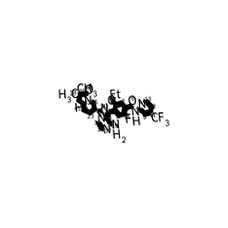 CCOc1cc(C(=O)Nc2cc(C(F)(F)F)ccn2)c(F)cc1-c1nc([C@@H]2CC[C@H]3CC(C)(C)C(=O)N3C2)n2ccnc(N)c12